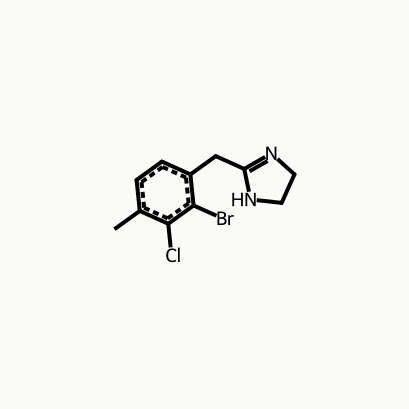 Cc1ccc(CC2=NCCN2)c(Br)c1Cl